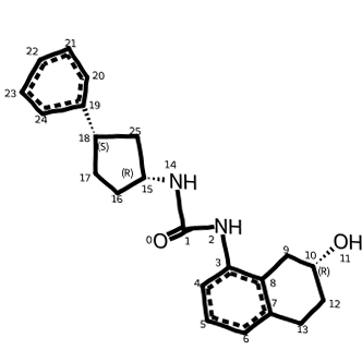 O=C(Nc1cccc2c1C[C@H](O)CC2)N[C@@H]1CC[C@H](c2ccccc2)C1